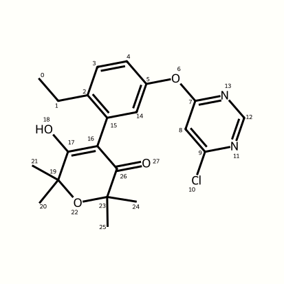 CCc1ccc(Oc2cc(Cl)ncn2)cc1C1=C(O)C(C)(C)OC(C)(C)C1=O